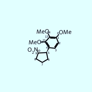 COc1ccc([C@H]2CCC[C@@H]2[N+](=O)[O-])c(OC)c1OC